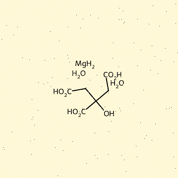 O.O.O=C(O)CC(O)(CC(=O)O)C(=O)O.[MgH2]